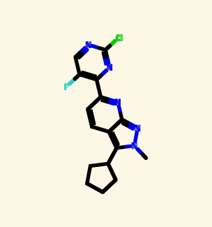 Cn1nc2nc(-c3nc(Cl)ncc3F)ccc2c1C1CCCC1